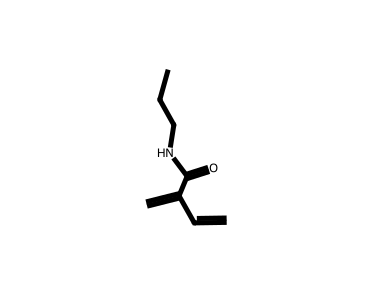 C=CC(=C)C(=O)NCCC